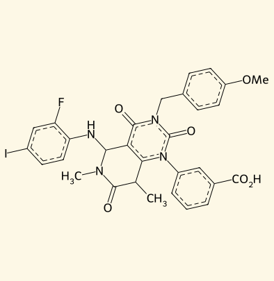 COc1ccc(Cn2c(=O)c3c(n(-c4cccc(C(=O)O)c4)c2=O)C(C)C(=O)N(C)C3Nc2ccc(I)cc2F)cc1